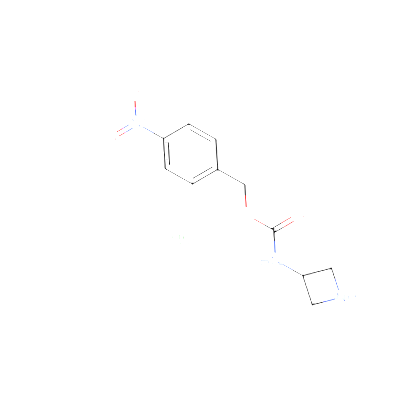 Cl.O=C(NC1CNC1)OCc1ccc([N+](=O)[O-])cc1